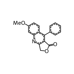 COc1ccc2c(-c3ccccc3)c3c(nc2c1)COC3=O